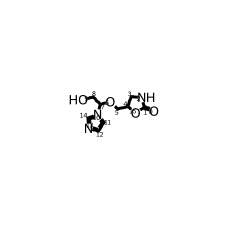 O=C1NCC(COC(CO)n2ccnc2)O1